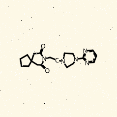 O=C1CC2(CCCC2)CC(=O)N1CCN1CCN(c2ncccn2)CC1